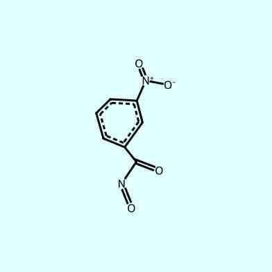 O=NC(=O)c1cccc([N+](=O)[O-])c1